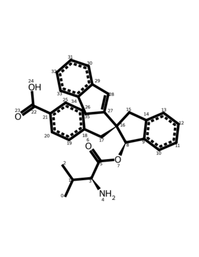 CC(C)[C@H](N)C(=O)O[C@@H]1c2ccccc2C[C@@]1(Cc1ccc(C(=O)O)cc1)C1=Cc2ccccc2C1